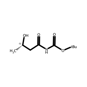 C[C@H](O)CC(=O)NC(=O)OC(C)(C)C